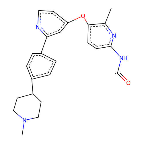 Cc1nc(N[C]=O)ccc1Oc1ccnc(-c2ccc(C3CCN(C)CC3)cc2)c1